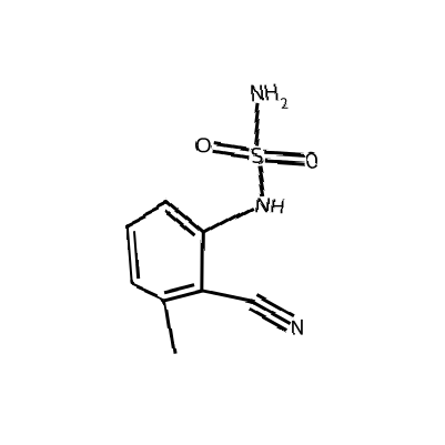 Cc1cccc(NS(N)(=O)=O)c1C#N